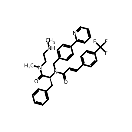 CNCCN(C)C(=O)[C@H](Cc1ccccc1)N(Cc1ccc(-c2ccccn2)cc1)C(=O)/C=C/c1ccc(C(F)(F)F)cc1